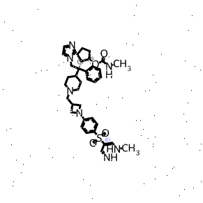 CN/C=C(\C=N)S(=O)(=O)c1ccc(N2CC(CN3CCC(C(Cn4ccnc4)(c4ccccc4)[C@@H]4CCC[C@H]4OC(=O)NC)CC3)C2)cc1